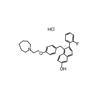 Cl.Oc1ccc2c(Cc3ccc(OCCN4CCCCCC4)cc3)c(-c3ccccc3F)ccc2c1